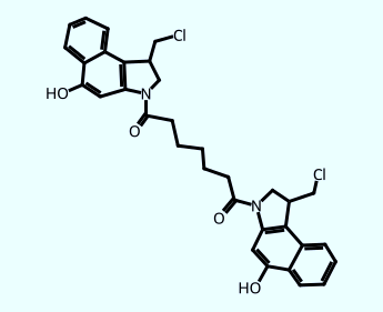 O=C(CCCCCC(=O)N1CC(CCl)c2c1cc(O)c1ccccc21)N1CC(CCl)c2c1cc(O)c1ccccc21